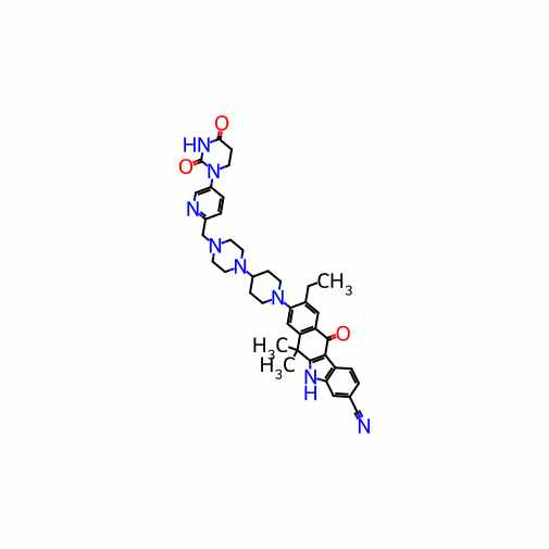 CCc1cc2c(cc1N1CCC(N3CCN(Cc4ccc(N5CCC(=O)NC5=O)cn4)CC3)CC1)C(C)(C)c1[nH]c3cc(C#N)ccc3c1C2=O